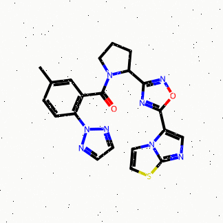 Cc1ccc(-n2nccn2)c(C(=O)N2CCCC2c2noc(-c3cnc4sccn34)n2)c1